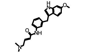 COc1ccc2c(Cc3cccc(NC(=O)C=CCN(C)C)c3)c[nH]c2c1